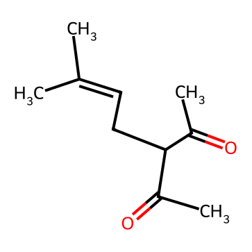 CC(=O)C(CC=C(C)C)C(C)=O